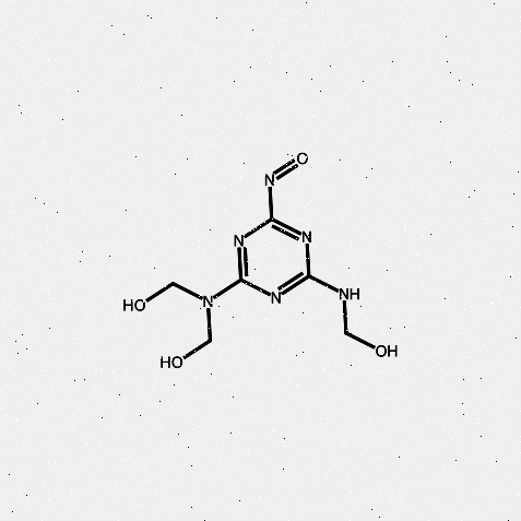 O=Nc1nc(NCO)nc(N(CO)CO)n1